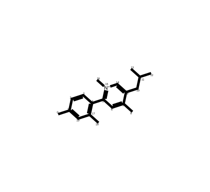 Cc1ccc(-c2cc(C)c(CC(C)C)c[n+]2C)c(C)c1